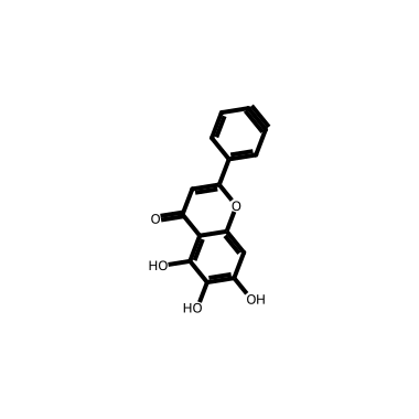 O=c1cc(-c2cc#ccc2)oc2cc(O)c(O)c(O)c12